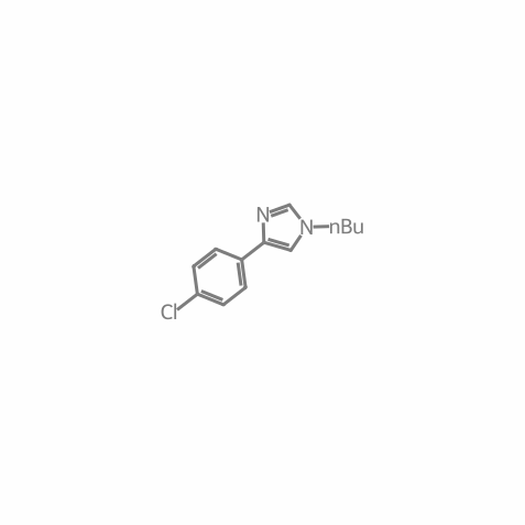 [CH2]CCCn1cnc(-c2ccc(Cl)cc2)c1